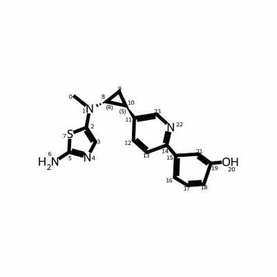 CN(c1cnc(N)s1)[C@@H]1C[C@H]1c1ccc(-c2cccc(O)c2)nc1